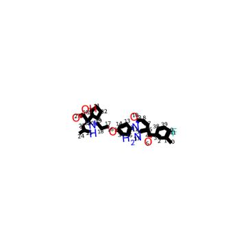 Cc1cc(C(=O)c2ccc(=O)n(-c3ccc(OCCCN[C@](CC(C)C)(C(=O)O)C4CCCC4)cc3)c2N)ccc1F